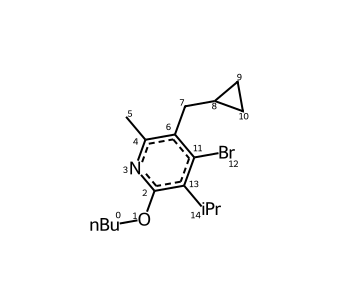 CCCCOc1nc(C)c(CC2CC2)c(Br)c1C(C)C